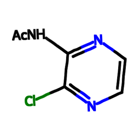 CC(=O)Nc1nccnc1Cl